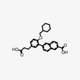 O=C(O)CCc1ccc(OCC2CCCCC2)c(-c2ccc3cc(C(=O)O)ccc3c2)c1